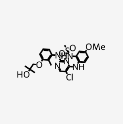 COc1ccc(Nc2nc(Nc3cccc(OCC(C)(C)O)c3C)ncc2Cl)c(NS(C)(=O)=O)c1